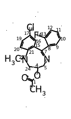 CC(=O)OC1C/N=C(/c2ccccc2F)c2cc(Cl)ccc2N(C)C1